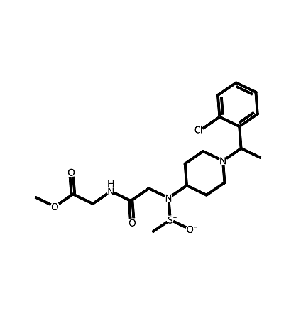 COC(=O)CNC(=O)CN(C1CCN(C(C)c2ccccc2Cl)CC1)[S+](C)[O-]